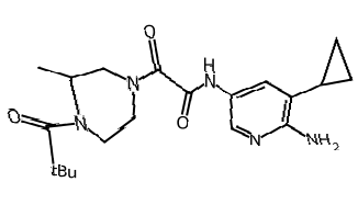 CC1CN(C(=O)C(=O)Nc2cnc(N)c(C3CC3)c2)CCN1C(=O)C(C)(C)C